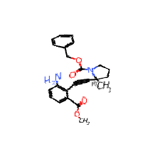 COC(=O)c1cccc(N)c1C#C[C@@]1(C)CCCN1C(=O)OCc1ccccc1